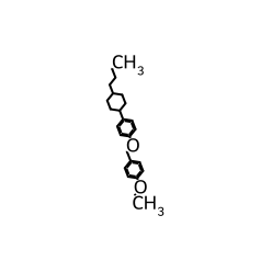 CCCCC1CCC(c2ccc(OCc3ccc(OCC)cc3)cc2)CC1